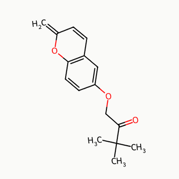 C=C1C=Cc2cc(OCC(=O)C(C)(C)C)ccc2O1